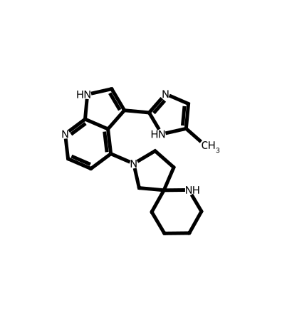 Cc1cnc(-c2c[nH]c3nccc(N4CCC5(CCCCN5)C4)c23)[nH]1